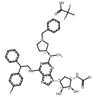 CCC(=O)N[C@H]1C[C@@H](n2cnc3c(NCC(c4ccccc4)c4ccc(F)cc4)nc(N(C)[C@H]4CCN(Cc5ccccc5)C4)nc32)[C@H](O)[C@@H]1O.O=C(O)C(F)(F)F